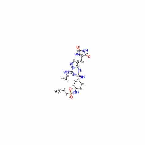 CCCS(=O)(=O)N[C@H]1CC[C@H](Nc2nc(NC3CC3)n3ncc(/C=C4\NC(=O)NC4=O)c3n2)CC1